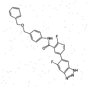 O=C(Nc1ccc(COCc2ccccc2)cc1)c1cc(-c2cc3[nH]nnc3cc2F)ccc1F